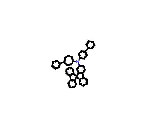 C1=CC(N(c2ccc(-c3ccccc3)cc2)c2ccc3c(c2)C2(c4ccccc4-c4ccccc42)c2ccccc2-3)=CCC=C1c1ccccc1